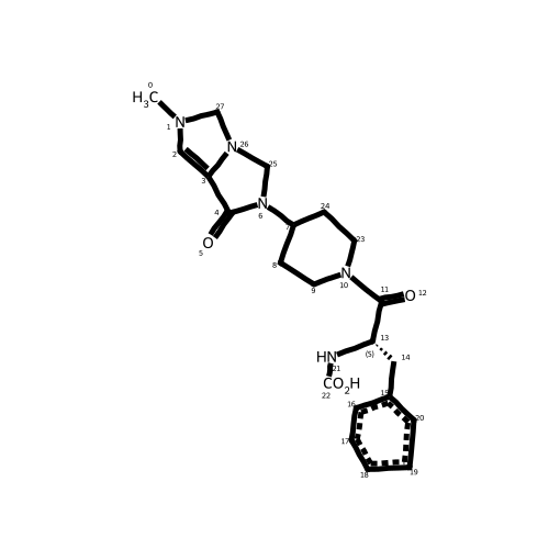 CN1C=C2C(=O)N(C3CCN(C(=O)[C@H](Cc4ccccc4)NC(=O)O)CC3)CN2C1